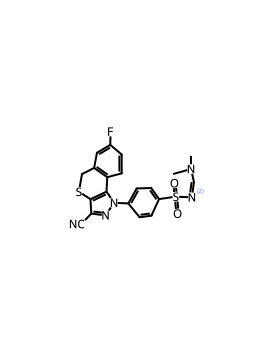 CN(C)/C=N\S(=O)(=O)c1ccc(-n2nc(C#N)c3c2-c2ccc(F)cc2CS3)cc1